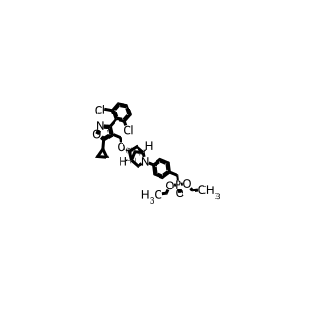 CCOP(=O)(Cc1ccc(N2C[C@@H]3C[C@H]2C[C@H]3OCc2c(-c3c(Cl)cccc3Cl)noc2C2CC2)cc1)OCC